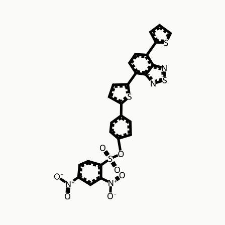 O=[N+]([O-])c1ccc(S(=O)(=O)Oc2ccc(-c3ccc(-c4ccc(-c5cccs5)c5nsnc45)s3)cc2)c([N+](=O)[O-])c1